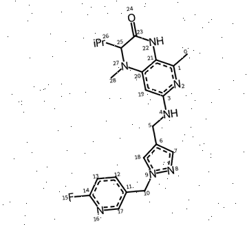 Cc1nc(NCc2cnn(Cc3ccc(F)nc3)c2)cc2c1NC(=O)C(C(C)C)N2C